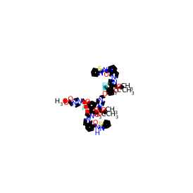 COC(=O)CN1CCN(CCOc2cccc(-c3ccc(N4CCc5cccc(C(=O)Nc6nc7ccccc7s6)c5C4)nc3C(=O)OC(C(=O)OC(C)(C)C)N3CCN(CCOc4cccc(-c5ccc(N6CCc7cccc(C(=O)Nc8nc9ccccc9s8)c7C6)nc5C(=O)OC(C)(C)C)c4C(F)(F)F)CC3)c2C(F)(F)F)CC1